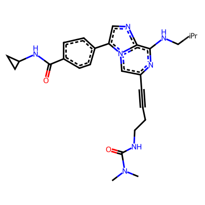 CC(C)CNc1nc(C#CCCNC(=O)N(C)C)cn2c(-c3ccc(C(=O)NC4CC4)cc3)cnc12